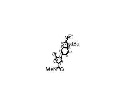 CCN=c1sc2cc(N3C[C@H](C(=O)NC)OC3=O)ccc2n1C(C)(C)C